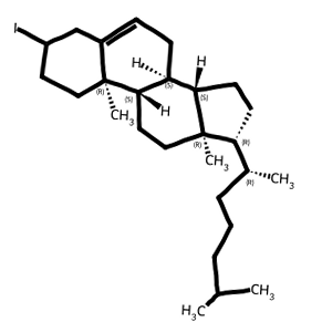 CC(C)CCC[C@@H](C)[C@H]1CC[C@H]2[C@@H]3CC=C4CC(I)CC[C@]4(C)[C@H]3CC[C@]12C